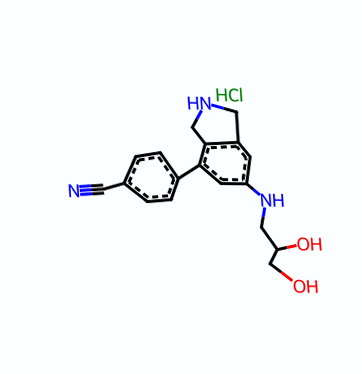 Cl.N#Cc1ccc(-c2cc(NCC(O)CO)cc3c2CNC3)cc1